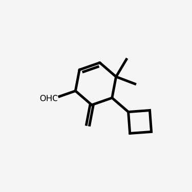 C=C1C(C=O)C=CC(C)(C)C1C1CCC1